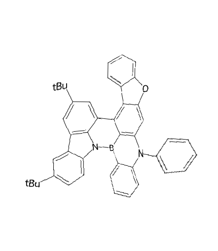 CC(C)(C)c1ccc2c(c1)c1cc(C(C)(C)C)cc3c1n2B1c2ccccc2N(c2ccccc2)c2cc4oc5ccccc5c4c-3c21